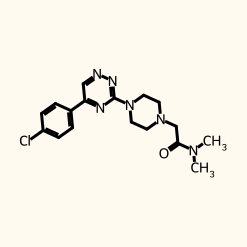 CN(C)C(=O)CN1CCN(c2nncc(-c3ccc(Cl)cc3)n2)CC1